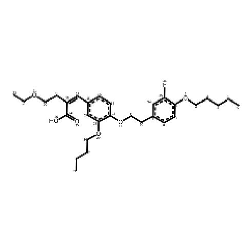 CCCCCOc1ccc(CCOc2ccc(/C=C(/CCOCC)C(=O)O)cc2OCCCC)cc1F